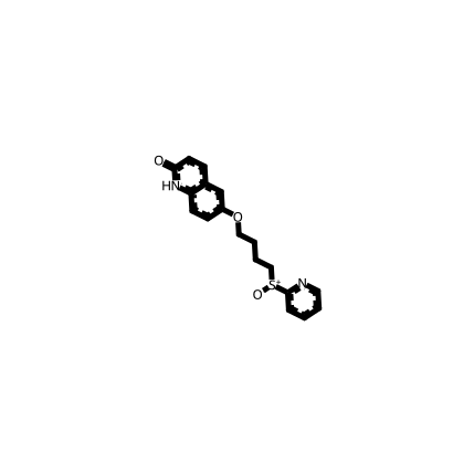 O=c1ccc2cc(OCCCC[S+]([O-])c3ccccn3)ccc2[nH]1